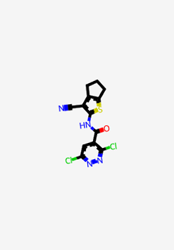 N#Cc1c(NC(=O)c2cc(Cl)nnc2Cl)sc2c1CCC2